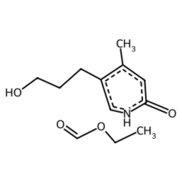 CCOC=O.Cc1cc(=O)[nH]cc1CCCO